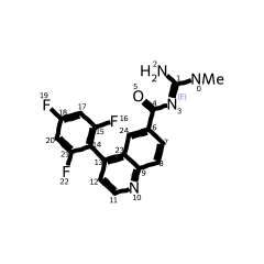 CN/C(N)=N/C(=O)c1ccc2nccc(-c3c(F)cc(F)cc3F)c2c1